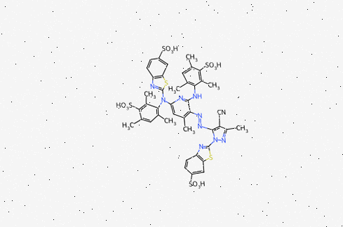 Cc1cc(N(c2nc3ccc(S(=O)(=O)O)cc3s2)c2c(C)cc(C)c(S(=O)(=O)O)c2C)nc(Nc2c(C)cc(C)c(S(=O)(=O)O)c2C)c1N=Nc1c(C#N)c(C)nn1-c1nc2ccc(S(=O)(=O)O)cc2s1